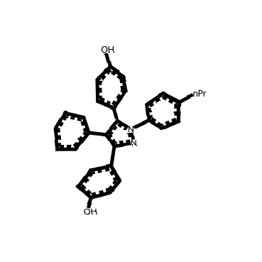 CCCc1ccc(-n2nc(-c3ccc(O)cc3)c(-c3ccccc3)c2-c2ccc(O)cc2)cc1